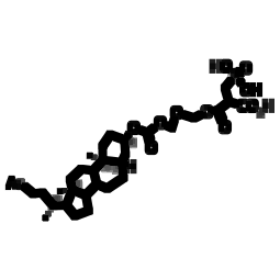 CC(=O)CC[C@@H](C)C1CCC2C3CC[C@@H]4C[C@H](OC(=O)OCOCOC(=O)C(CP(=O)(O)O)C(=O)O)CC[C@]4(C)C3CC[C@@]21C